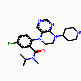 CC(C)N(C)C(=O)c1cc(F)ccc1N1CCN(C2CCNCC2)c2ncncc21